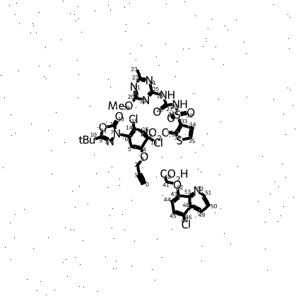 C#CCOc1cc(-n2nc(C(C)(C)C)oc2=O)c(Cl)cc1Cl.COc1nc(C)nc(NC(=O)NS(=O)(=O)c2ccsc2C(=O)O)n1.O=C(O)COc1ccc(Cl)c2cccnc12